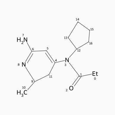 CCC(=O)N(C1=CC(N)=NC(C)C1)C1CCCC1